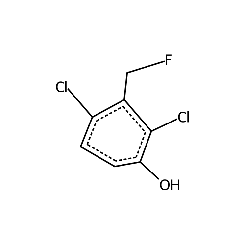 Oc1ccc(Cl)c(CF)c1Cl